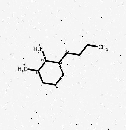 CCCCC1CCCC(C)C1N